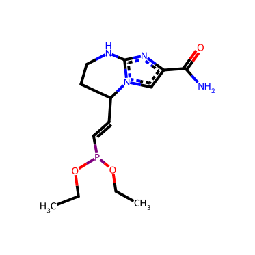 CCOP(C=CC1CCNc2nc(C(N)=O)cn21)OCC